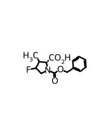 CC1C(F)CN(C(=O)OCc2ccccc2)[C@@H]1C(=O)O